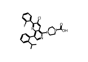 CC(C)c1ccccc1-c1cnc(N2CCN(C(=O)O)CC2)c2cc(Cl)c(-c3ccccc3F)nc12